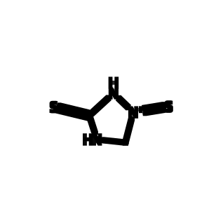 S=C1NC[N+](=S)N1